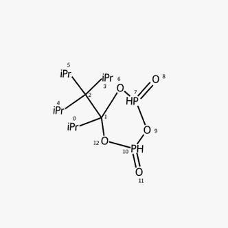 CC(C)C1(C(C(C)C)(C(C)C)C(C)C)O[PH](=O)O[PH](=O)O1